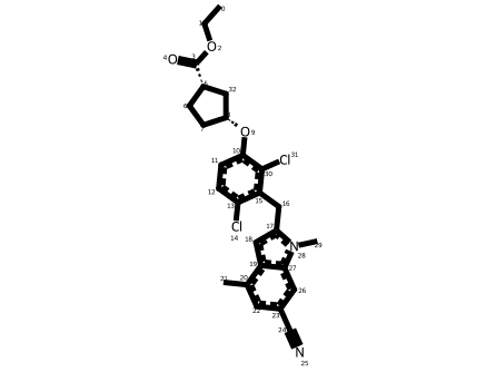 CCOC(=O)[C@H]1CC[C@@H](Oc2ccc(Cl)c(Cc3cc4c(C)cc(C#N)cc4n3C)c2Cl)C1